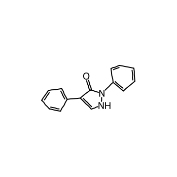 O=c1c(-c2ccccc2)c[nH]n1-c1ccccc1